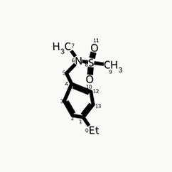 CCc1ccc(CN(C)S(C)(=O)=O)cc1